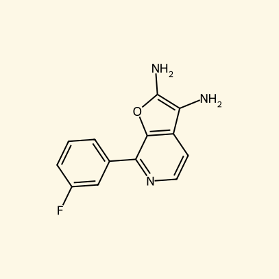 Nc1oc2c(-c3cccc(F)c3)nccc2c1N